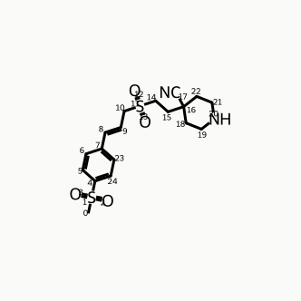 CS(=O)(=O)c1ccc(C=CCS(=O)(=O)CCC2(C#N)CCNCC2)cc1